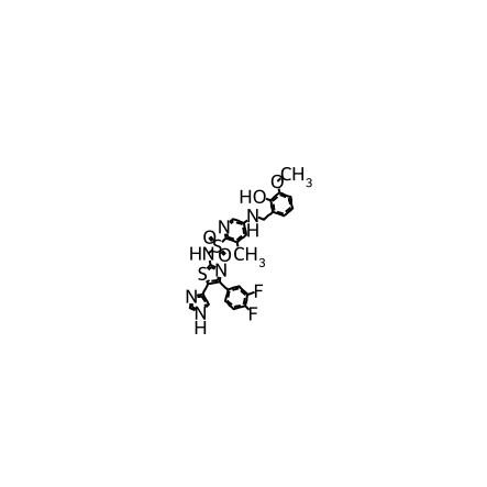 COc1cccc(CNc2cnc(S(=O)(=O)Nc3nc(-c4ccc(F)c(F)c4)c(-c4c[nH]cn4)s3)c(C)c2)c1O